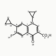 O=C(O)c1cn(C2CC2)c2cc(C3CC3)c(F)cc2c1=O